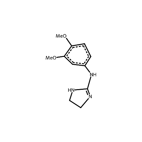 COc1ccc(NC2=NCCN2)cc1OC